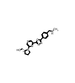 CNCc1ccc(-c2nnc(-c3cncc(N4CCC[C@@H]4CO)n3)o2)cc1